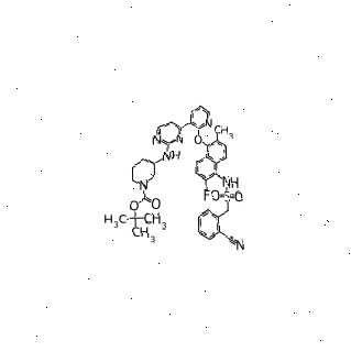 Cc1ccc2c(NS(=O)(=O)Cc3ccccc3C#N)c(F)ccc2c1Oc1ncccc1-c1ccnc(NC2CCCN(C(=O)OC(C)(C)C)C2)n1